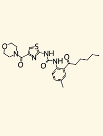 CCCCCC(=O)c1cc(C)ccc1NC(=O)Nc1nc(C(=O)N2CCOCC2)cs1